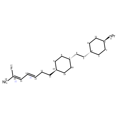 CCC[C@H]1CC[C@H](CC[C@H]2CC[C@H](CC/C=C/C=C(\F)C#N)CC2)CC1